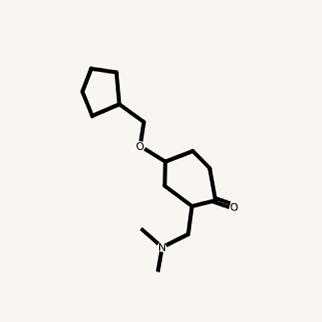 CN(C)CC1CC(OCC2CCCC2)CCC1=O